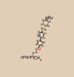 CCCCCC[C@H](C)CCCOc1ccc(-c2ccc(CC[C@H]3CC[C@H](CCCC)CC3)cn2)cc1